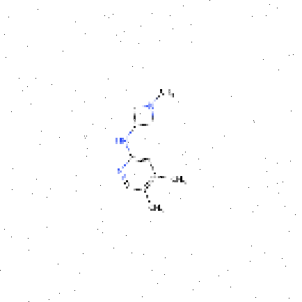 Cc1cnc(NC2CN(C)C2)cc1C